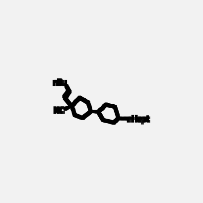 CCCCC=C[C@]1(C#N)CC[C@@H](C2CCC(CCCCCCC)CC2)CC1